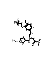 CN(C)C(=O)CN(CCc1ccc(F)c(OCC(F)(F)F)c1)CC1CCOC1.Cl